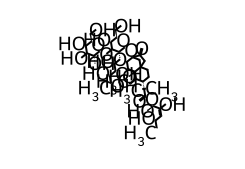 CCC1[C@@H](C(C)(C)C(=O)O[C@H](O)/C(O)=C\[C@H](O)CC)CCC23CC(=O)C(OC4O[C@H](CO)C(O)C(OC5O[C@H](CO)C(O)C(O)[C@H]5O)[C@H]4O[C@H](O)C(O)C(O)[C@@H](C)O)(CC[C@@]12O)C3